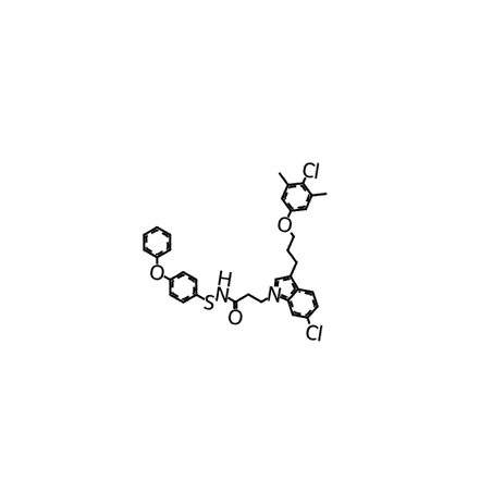 Cc1cc(OCCCc2cn(CCC(=O)NSc3ccc(Oc4ccccc4)cc3)c3cc(Cl)ccc23)cc(C)c1Cl